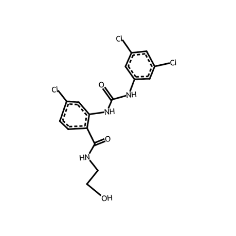 O=C(Nc1cc(Cl)cc(Cl)c1)Nc1cc(Cl)ccc1C(=O)NCCO